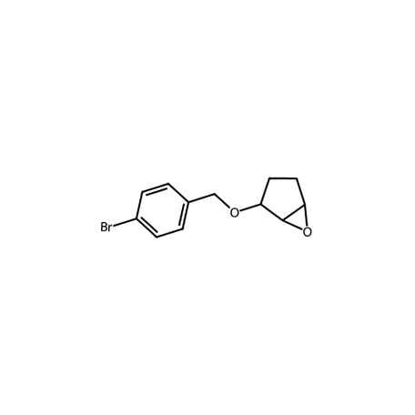 Brc1ccc(COC2CCC3OC23)cc1